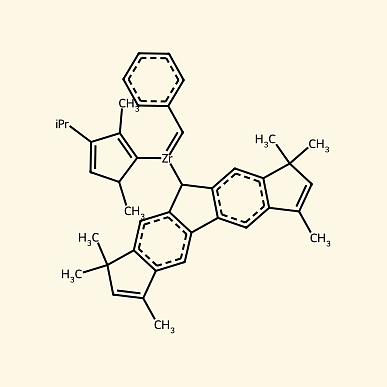 CC1=CC(C)(C)c2cc3c(cc21)-c1cc2c(cc1[CH]3[Zr](=[CH]c1ccccc1)[C]1=C(C)C(C(C)C)=CC1C)C(C)(C)C=C2C